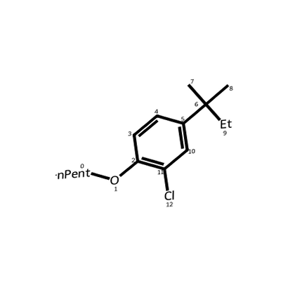 CCCC[CH]Oc1ccc(C(C)(C)CC)cc1Cl